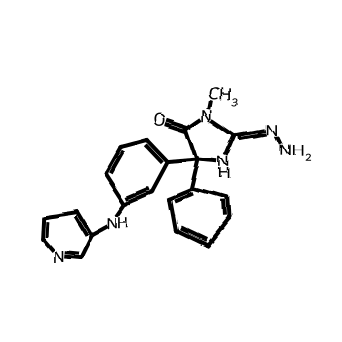 CN1C(=O)C(c2ccccc2)(c2cccc(Nc3cccnc3)c2)NC1=NN